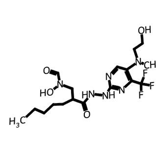 CCCCCC(CN(O)C=O)C(=O)NNc1ncc(N(C)CCO)c(C(F)(F)F)n1